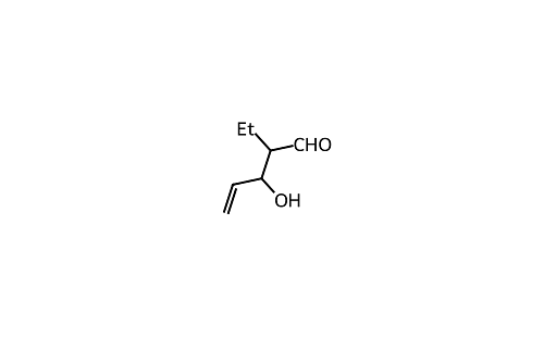 C=CC(O)C(C=O)CC